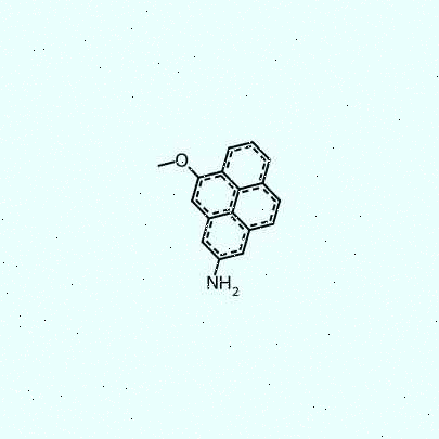 COc1cc2cc(N)cc3ccc4cccc1c4c32